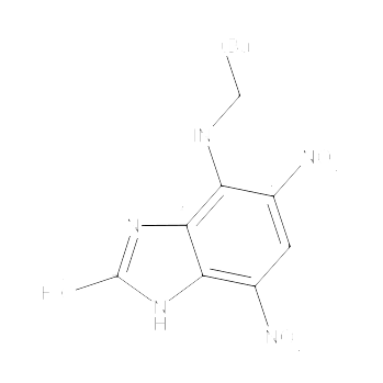 CC(C)(C)CNc1c([N+](=O)[O-])cc([N+](=O)[O-])c2[nH]c(C(F)(F)F)nc12